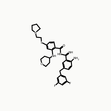 N=C(NC(=O)c1ccc(SCCN2CCCC2)cc1NC1CCOCC1)c1cc(Cc2cc(F)cc(F)c2)ccc1N